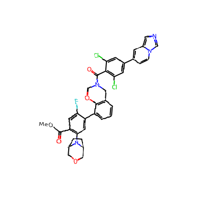 COC(=O)c1cc(F)c(-c2cccc3c2OCN(C(=O)c2c(Cl)cc(-c4ccn5cncc5c4)cc2Cl)C3)cc1N1C2CCC1COC2